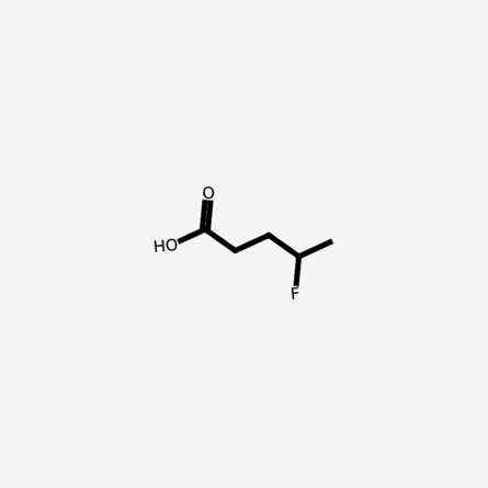 CC(F)CCC(=O)O